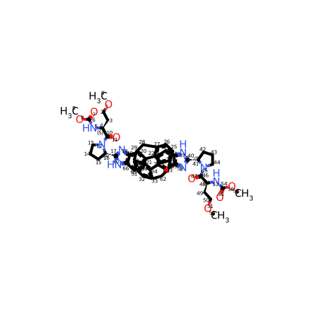 COCC[C@H](NC(=O)OC)C(=O)N1CCC[C@H]1c1nc2cc(-c3cc4ccc3CCc3ccc(c(-c5ccc6[nH]c([C@@H]7CCCN7C(=O)[C@H](CCOC)NC(=O)OC)nc6c5)c3)CC4)ccc2[nH]1